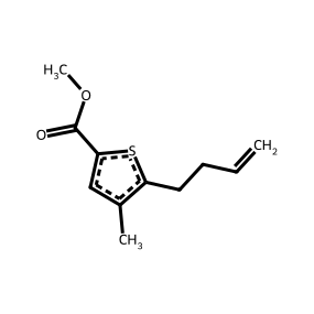 C=CCCc1sc(C(=O)OC)cc1C